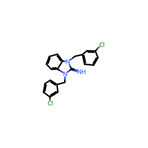 N=c1n(Cc2cccc(Cl)c2)c2ccccc2n1Cc1cccc(Cl)c1